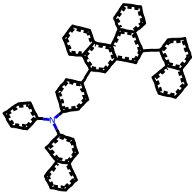 c1ccc(N(c2ccc(-c3cc4cc(-c5cccc6ccccc56)c5ccccc5c4c4ccccc34)cc2)c2ccc3ccccc3c2)cc1